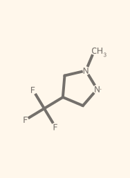 CN1CC(C(F)(F)F)C[N]1